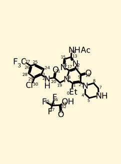 CCc1c(N2CCNCC2)c(=O)c2nc(NC(C)=O)cnc2n1CC(=O)Nc1ccc(C(F)(F)F)cc1Cl.O=C(O)C(F)(F)F